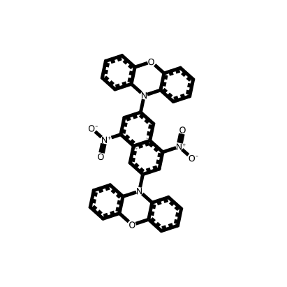 O=[N+]([O-])c1cc(N2c3ccccc3Oc3ccccc32)cc2c([N+](=O)[O-])cc(N3c4ccccc4Oc4ccccc43)cc12